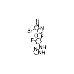 Fc1cc(NC2=NCCCN2)cc(F)c1Oc1ccnc2[nH]cc(Br)c12